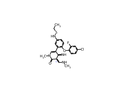 CCSNc1ccc(Oc2ccc(Cl)cc2F)c(C2=CN(C)C(=O)/C(=C/NC)C2=N)c1